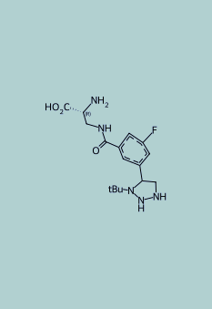 CC(C)(C)N1NNCC1c1cc(F)cc(C(=O)NC[C@@H](N)C(=O)O)c1